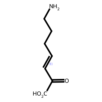 NCCC/C=C/C(=O)C(=O)O